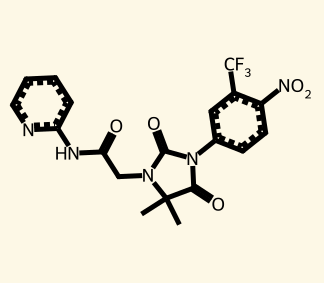 CC1(C)C(=O)N(c2ccc([N+](=O)[O-])c(C(F)(F)F)c2)C(=O)N1CC(=O)Nc1ccccn1